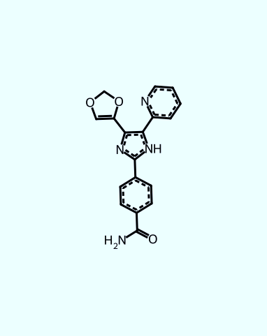 NC(=O)c1ccc(-c2nc(C3=COCO3)c(-c3ccccn3)[nH]2)cc1